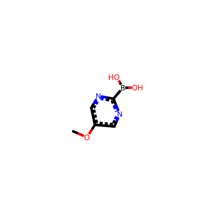 COc1cnc(B(O)O)nc1